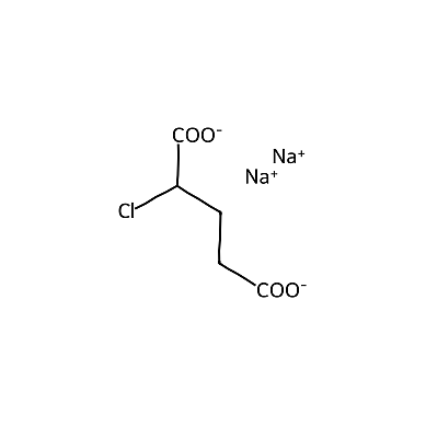 O=C([O-])CCC(Cl)C(=O)[O-].[Na+].[Na+]